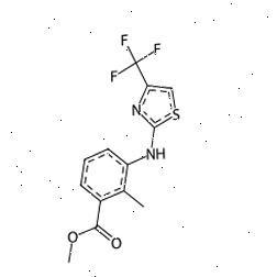 COC(=O)c1cccc(Nc2nc(C(F)(F)F)cs2)c1C